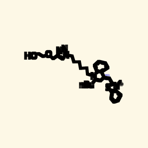 CCCCC1=C/C(=C\c2sc3ccccc3[n+]2C)c2ccccc2N1CCCCCCn1cc(COCCO)nn1